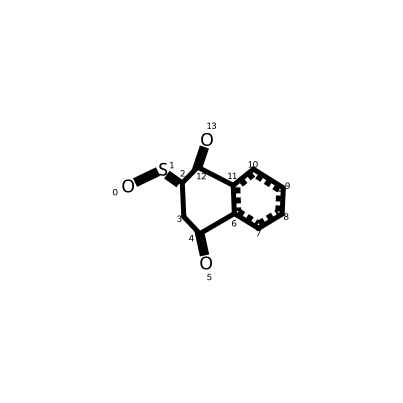 O=S=C1CC(=O)c2ccccc2C1=O